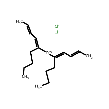 C/C=C/C=[C](\CCCC)[Zr+2]/[C](=C/C=C/C)CCCC.[Cl-].[Cl-]